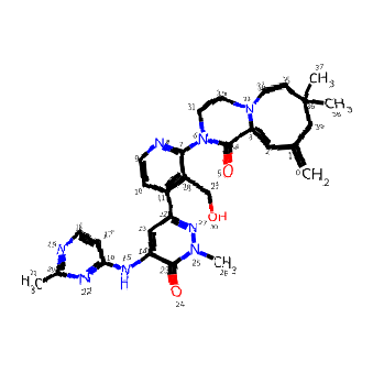 C=C1/C=C2/C(=O)N(c3nccc(-c4cc(Nc5ccnc(C)n5)c(=O)n(C)n4)c3CO)CCN2CCC(C)(C)C1